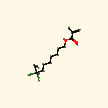 C=C(C)C(=O)OCCCCCCCC(F)(F)[SiH3]